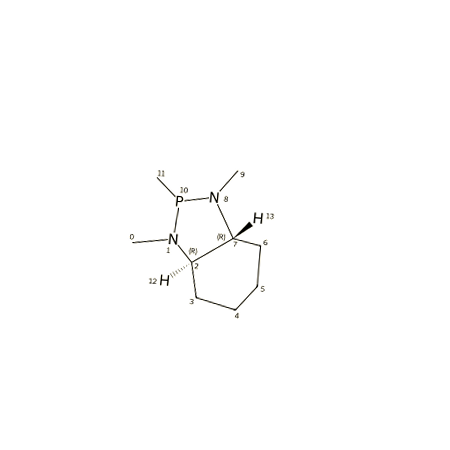 CN1[C@@H]2CCCC[C@H]2N(C)P1C